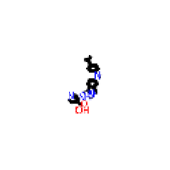 CC(C)c1ccc(N(C)c2ccc3c(c2)CN(C)[C@@H]3CNc2cnccc2C(=O)O)cc1